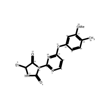 CCC1NC(=O)N(c2nccc(Oc3ccc(C)c(OC)c3)n2)C1=O